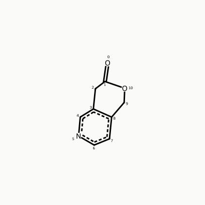 O=C1Cc2cnccc2CO1